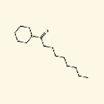 [CH2]CCCCCCCC(=O)N1CCCCC1